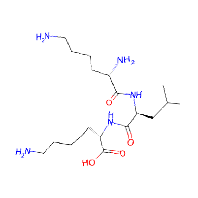 CC(C)C[C@H](NC(=O)[C@@H](N)CCCCN)C(=O)N[C@@H](CCCCN)C(=O)O